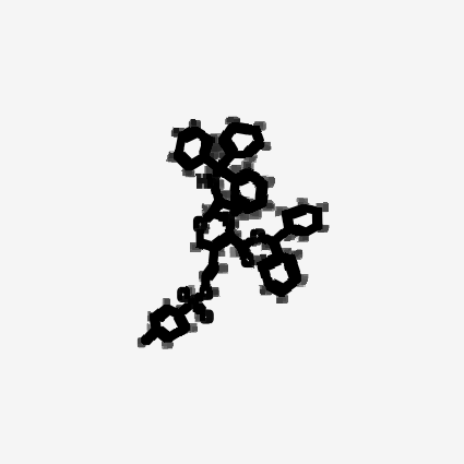 Cc1ccc(S(=O)(=O)OC=CC2=C(C(=O)OC(c3ccccc3)c3ccccc3)N3C(=O)C(NC(c4ccccc4)(c4ccccc4)c4ccccc4)C3OC2)cc1